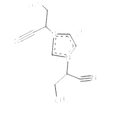 CCC(C#N)n1cc[n+](C(C#N)CC)c1.[Cl-]